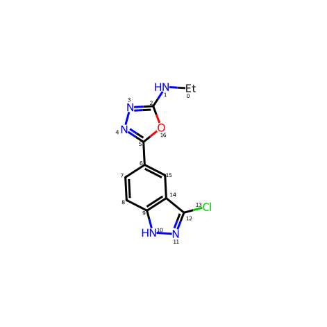 CCNc1nnc(-c2ccc3[nH]nc(Cl)c3c2)o1